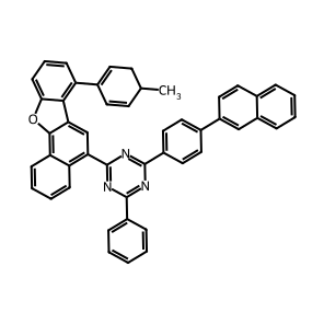 CC1C=CC(c2cccc3oc4c5ccccc5c(-c5nc(-c6ccccc6)nc(-c6ccc(-c7ccc8ccccc8c7)cc6)n5)cc4c23)=CC1